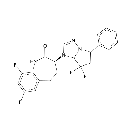 O=C1Nc2c(F)cc(F)cc2CC[C@@H]1N1C=NN2C(c3ccccc3)CC(F)(F)C21